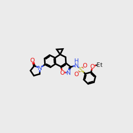 CCOc1ccccc1S(=O)(=O)Nc1noc2c1CC1(CC1)c1ccc(N3CCCC3=O)cc1-2